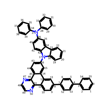 c1ccc(-c2ccc(-c3ccc4c(c3)c3cc(-n5c6ccccc6c6cc(N(c7ccccc7)c7ccccc7)ccc65)ccc3c3nccnc43)cc2)cc1